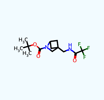 CC(C)(C)OC(=O)N1CC2(CNC(=O)C(F)(F)F)CC1C2